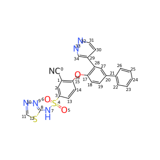 N#Cc1cc(S(=O)(=O)Nc2nncs2)ccc1Oc1ccc(-c2ccccc2)cc1-c1ccnnc1